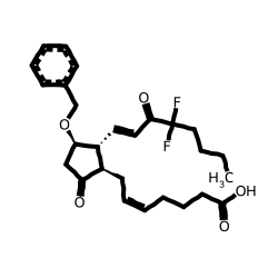 CCCCC(F)(F)C(=O)/C=C/[C@H]1[C@H](OCc2ccccc2)CC(=O)[C@@H]1C/C=C\CCCC(=O)O